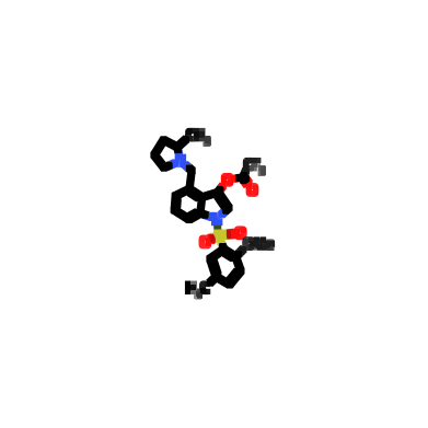 COc1ccc(C)cc1S(=O)(=O)n1cc(OC(=O)C(F)(F)F)c2c(CN3CCCC3C)cccc21